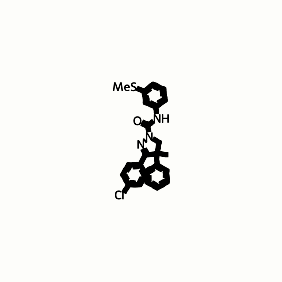 CSc1cccc(NC(=O)N2CC(C)(c3ccccc3)C(c3ccc(Cl)cc3)=N2)c1